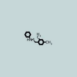 Cc1ccc(CSNc2ccccc2)c(C)c1